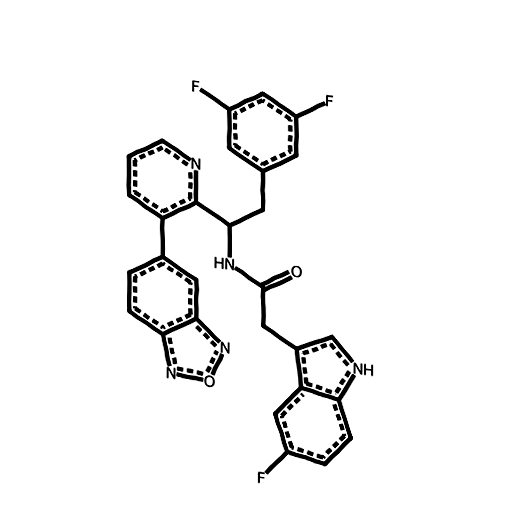 O=C(Cc1c[nH]c2ccc(F)cc12)NC(Cc1cc(F)cc(F)c1)c1ncccc1-c1ccc2nonc2c1